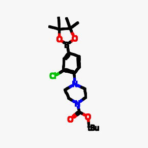 CC(C)(C)OC(=O)N1CCN(c2ccc(B3OC(C)(C)C(C)(C)O3)cc2Cl)CC1